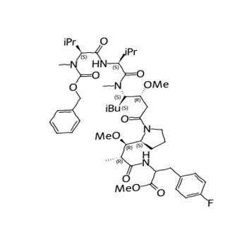 CC[C@H](C)[C@@H]([C@@H](CC(=O)N1CCC[C@H]1[C@H](OC)[C@@H](C)C(=O)NC(Cc1ccc(F)cc1)C(=O)OC)OC)N(C)C(=O)[C@@H](NC(=O)[C@H](C(C)C)N(C)C(=O)OCc1ccccc1)C(C)C